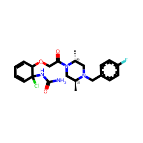 C[C@@H]1CN(Cc2ccc(F)cc2)[C@@H](C)CN1C(=O)COC1C=CC=CC1(Cl)NC(N)=O